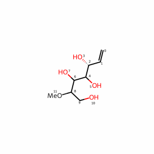 C=C[C@@H](O)C(O)C(O)C(CO)OC